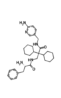 Nc1ccc(CNC(=O)C(CNC(=O)[C@@H](N)Cc2ccccc2)(C2CCCCC2)C2CCCCC2)cn1